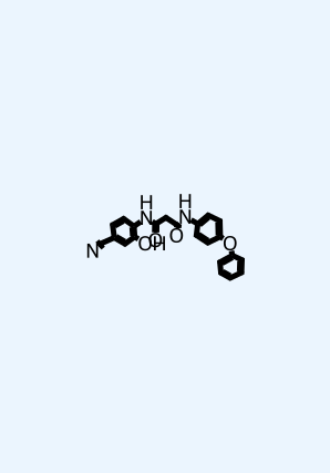 N#Cc1ccc(NC(=O)CC(=O)Nc2ccc(Oc3ccccc3)cc2)c(O)c1